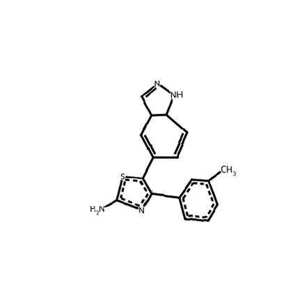 Cc1cccc(-c2nc(N)sc2C2=CC3C=NNC3C=C2)c1